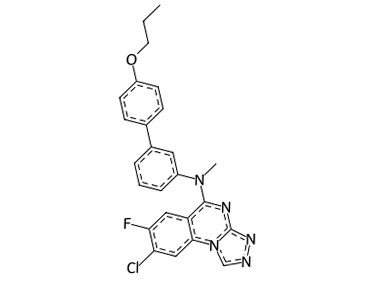 CCCOc1ccc(-c2cccc(N(C)c3nc4nncn4c4cc(Cl)c(F)cc34)c2)cc1